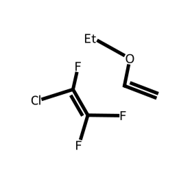 C=COCC.FC(F)=C(F)Cl